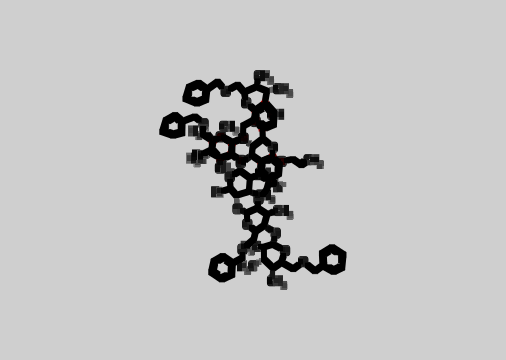 C=CCO[C@H]1OC(CO[C@@H]2OC(COCc3ccccc3)[C@@H](C)[C@H](C)C2O)[C@@H](O[C@@H]2OC(COCc3ccccc3)[C@@H](C)[C@H](C)C2O[C@H]2OC(CC)[C@@H](O[C@@H]3OC(COCc4ccccc4)[C@H](O[C@H]4OC(COCc5ccccc5)[C@H](C)[C@H](C)C4C)[C@H](C)C3OCc3ccccc3)[C@H](C)C2N=[N+]=[N-])[C@H](O[C@@H]2OC(CC)[C@@H](C)[C@H](C)C2OCc2ccccc2)C1C